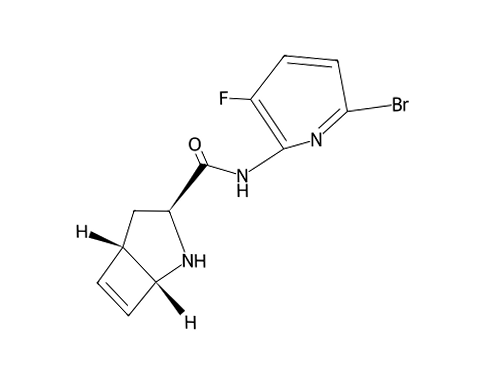 O=C(Nc1nc(Br)ccc1F)[C@@H]1C[C@H]2C=C[C@H]2N1